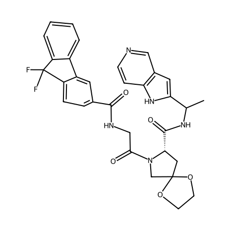 CC(NC(=O)[C@@H]1CC2(CN1C(=O)CNC(=O)c1ccc3c(c1)-c1ccccc1C3(F)F)OCCO2)c1cc2cnccc2[nH]1